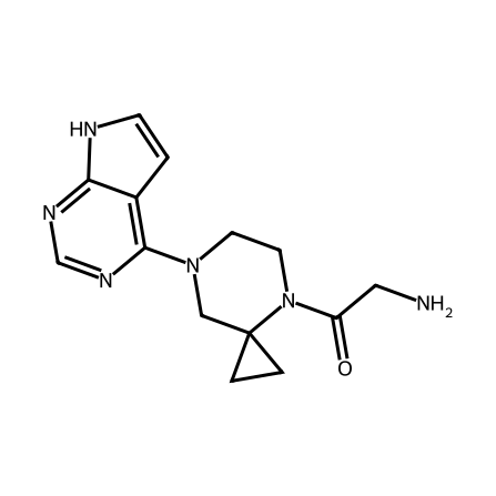 NCC(=O)N1CCN(c2ncnc3[nH]ccc23)CC12CC2